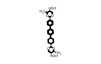 CCCCCCCC[C@@H]1CO[C@@H](c2ccc(-c3ccc(C4CCC([C@@H]5OC[C@@H](CCCCCCCC)[C@H](C)O5)CC4)cc3)cc2)OC1C